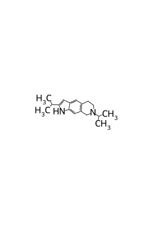 CC(C)c1cc2cc3c(cc2[nH]1)CN(C(C)C)CC3